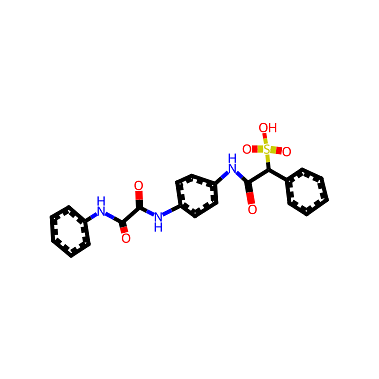 O=C(Nc1ccccc1)C(=O)Nc1ccc(NC(=O)C(c2ccccc2)S(=O)(=O)O)cc1